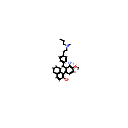 CCCN(C)CCc1ccc(Cc2c(-c3c(O)ccc4c3CCCC4)ccc(OC)c2N)cc1